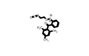 Cc1cc(C)c(C(=O)c2ccccc2[PH](=O)OCCN=C=O)c(C)c1